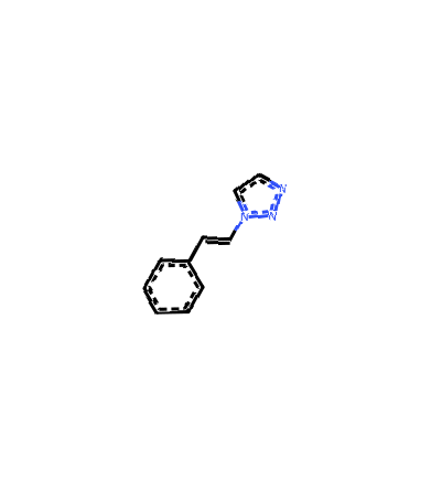 C(=Cn1ccnn1)c1ccccc1